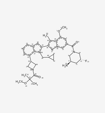 COc1cc(C(=O)N2C[C@H](N)C[C@@H](F)C2)cn2nc(-c3cc4cccc(C5CN(C(=O)C(C)(C)OC)C5)c4n3CC3CC3)c(C)c12